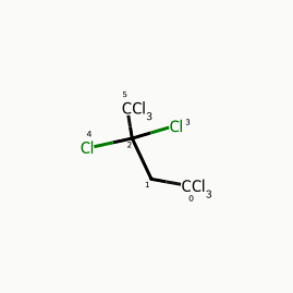 ClC(Cl)(Cl)CC(Cl)(Cl)C(Cl)(Cl)Cl